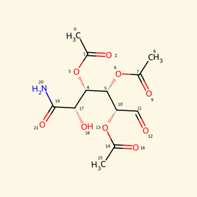 CC(=O)O[C@H]([C@H](OC(C)=O)[C@H](C=O)OC(C)=O)[C@H](O)C(N)=O